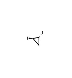 F[C@@H]1C[C@H]1I